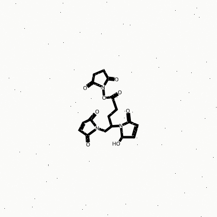 O=C(CCC(CN1C(=O)C=CC1=O)N1C(=O)C=CC1O)ON1C(=O)CCC1=O